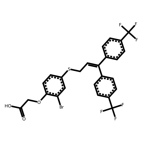 O=C(O)COc1ccc(SCC=C(c2ccc(C(F)(F)F)cc2)c2ccc(C(F)(F)F)cc2)cc1Br